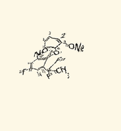 COc1ccccc1Oc1c([N+](=O)[O-])[c]c(F)cc1C(C)(F)F